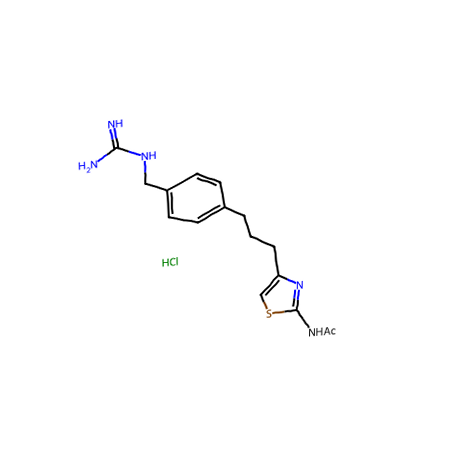 CC(=O)Nc1nc(CCCc2ccc(CNC(=N)N)cc2)cs1.Cl